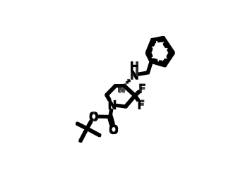 CC(C)(C)OC(=O)N1CC[C@H](NCc2ccccc2)C(F)(F)C1